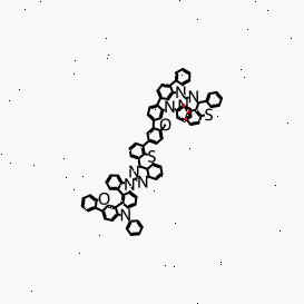 C1=CC2=NC(n3c4ccccc4c4c5c6c7oc8ccccc8c7ccc6n(-c6ccccc6)c5ccc43)=NC3c4cccc(-c5ccc6oc7c(ccc8c9ccc%10c%11ccccc%11n(-c%11nc%12c%13c(cccc%13n%11)Sc%11ccccc%11-%12)c%10c9n(-c9ccccc9)c87)c6c5)c4SC(=C1)C23